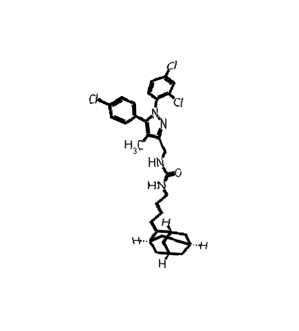 Cc1c(CNC(=O)NCCCCC2[C@H]3C[C@@H]4C[C@@H](C[C@H]2C4)C3)nn(-c2ccc(Cl)cc2Cl)c1-c1ccc(Cl)cc1